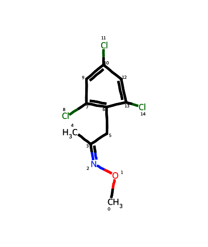 CO/N=C(/C)Cc1c(Cl)cc(Cl)cc1Cl